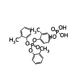 Cc1ccccc1OP(=O)(Oc1ccccc1C)Oc1ccccc1C.O=P(O)(O)O